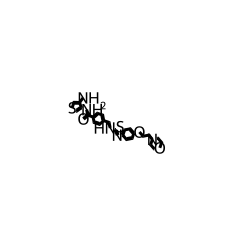 Nc1cscc1NC(=O)c1ccc(CNc2nc3ccc(OCCN4CCOCC4)cc3s2)cc1